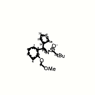 COCOc1ccccc1C(=N[S+]([O-])C(C)(C)C)c1ccsc1